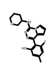 Cc1cc(O)c(-c2nnc(NC3CCCOC3)n3cccc23)c(F)c1